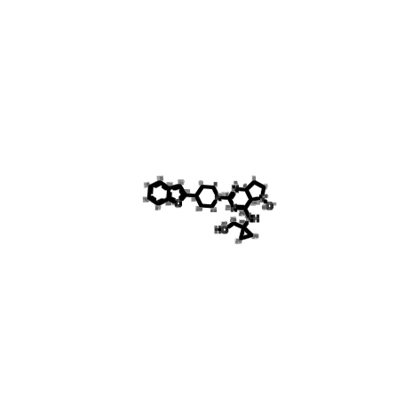 [O-][S+]1CCC2N=C(N3CCC(c4cc5ccccc5o4)CC3)N=C(NC3(CO)CC3)C21